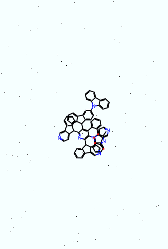 Cc1ccc(-c2ccccc2-c2c(C3c4ccccc4-c4cc(-n5c6ccccc6c6ccccc65)ccc43)c(C3c4ccccc4-c4cnccc43)nc(C3c4ccccc4-c4cnccc43)c2-n2c3ccccc3c3cnccc32)c(C)n1